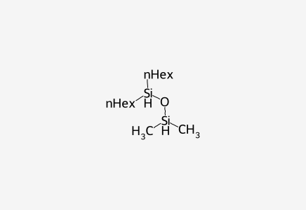 CCCCCC[SiH](CCCCCC)O[SiH](C)C